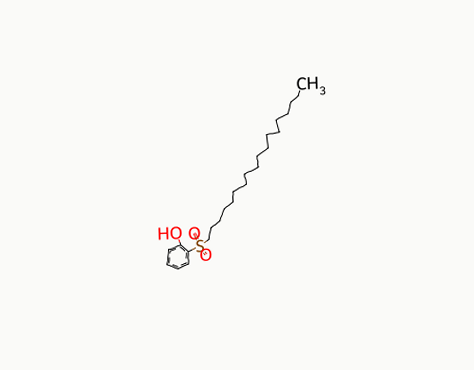 CCCCCCCCCCCCCCCCCCS(=O)(=O)c1ccccc1O